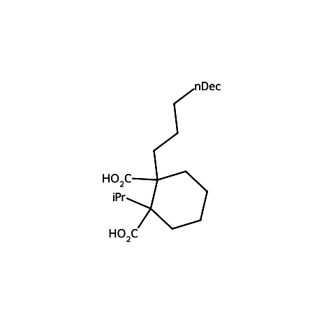 CCCCCCCCCCCCCC1(C(=O)O)CCCCC1(C(=O)O)C(C)C